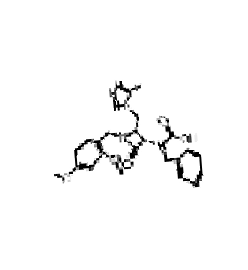 COc1ccc(CN2C(=O)[C@@H](N(Cc3ccccc3)C(=O)O)[C@@H]2Cn2nnnc2C)c(OC)c1